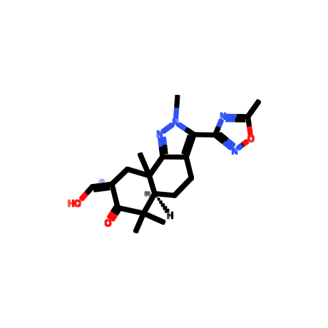 Cc1nc(-c2c3c(nn2C)C2(C)C/C(=C/O)C(=O)C(C)(C)[C@@H]2CC3)no1